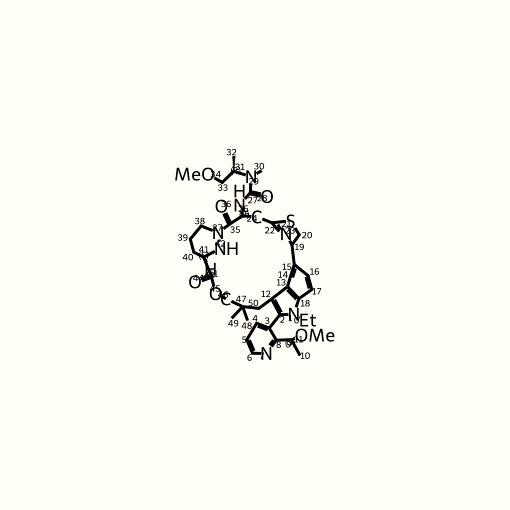 CCn1c(-c2cccnc2[C@H](C)OC)c2c3cc(ccc31)C1CSC(=N1)C[C@H](NC(=O)N(C)[C@H](C)COC)C(=O)N1CCC[C@H](N1)C(=O)OCC(C)(C)C2